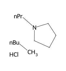 CCCCC.CCCN1CCCC1.Cl